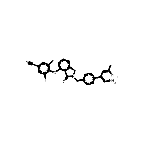 C/C(N)=C/C(=C\N)c1ccc(CN2Cc3cccc(Oc4c(F)cc(C#N)cc4F)c3C2=O)cc1